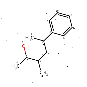 CC(CC(C)C(C)O)c1ccccc1